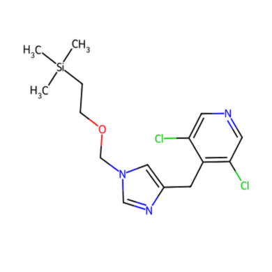 C[Si](C)(C)CCOCn1cnc(Cc2c(Cl)cncc2Cl)c1